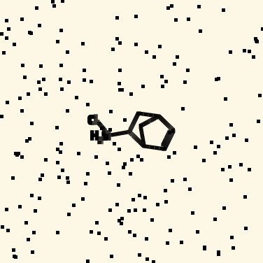 Cl[SiH2]C1CC2C=CC1C2